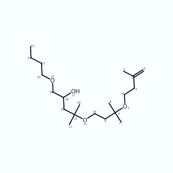 C=C(C)CCOC(C)(C)CCOC(C)(C)CC(O)COCCCC